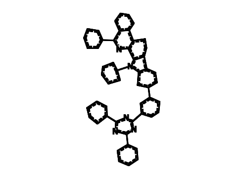 c1ccc(-c2nc(-c3ccccc3)nc(-c3cccc(-c4ccc5c6ccc7c8ccccc8c(-c8ccccc8)nc7c6n(-c6ccccc6)c5c4)c3)n2)cc1